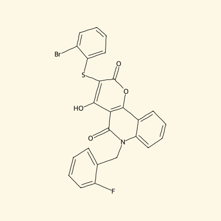 O=c1oc2c(c(O)c1Sc1ccccc1Br)c(=O)n(Cc1ccccc1F)c1ccccc21